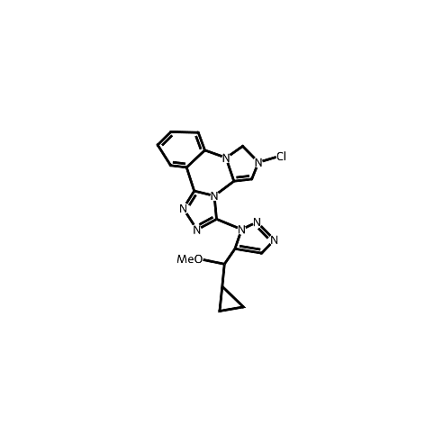 COC(c1cnnn1-c1nnc2n1C1=CN(Cl)CN1c1ccccc1-2)C1CC1